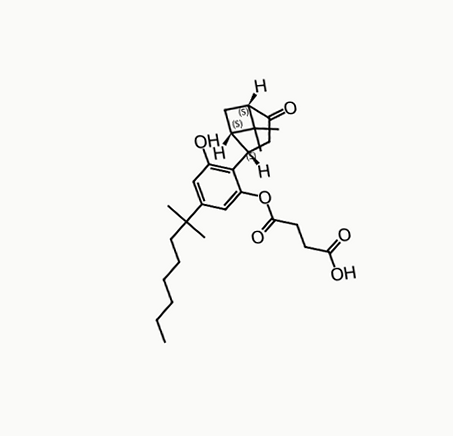 CCCCCCC(C)(C)c1cc(O)c([C@H]2CC(=O)[C@H]3C[C@@H]2C3(C)C)c(OC(=O)CCC(=O)O)c1